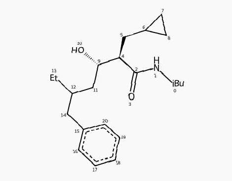 C[CH]C(C)NC(=O)[C@H](CC1CC1)[C@@H](O)CC(CC)Cc1ccccc1